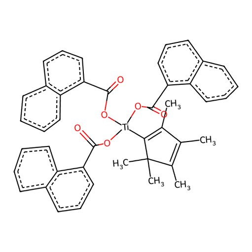 CC1=C(C)C(C)(C)[C]([Ti]([O]C(=O)c2cccc3ccccc23)([O]C(=O)c2cccc3ccccc23)[O]C(=O)c2cccc3ccccc23)=C1C